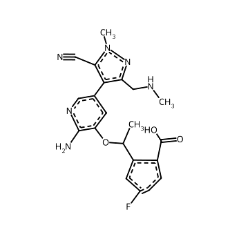 CNCc1nn(C)c(C#N)c1-c1cnc(N)c(OC(C)c2cc(F)ccc2C(=O)O)c1